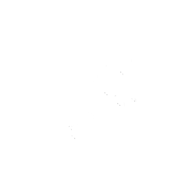 C=C(C)N1CCC(N)=C(C(=N)N2CC(C)CC3=C2C=CC(Cc2cnn(C)c2)=CC3)C1